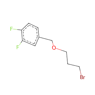 Fc1ccc(COCCCBr)cc1F